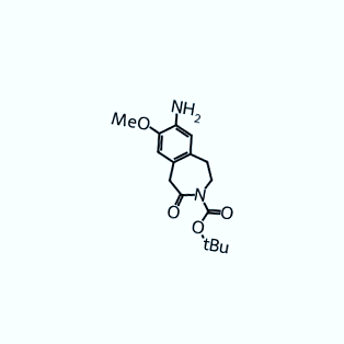 COc1cc2c(cc1N)CCN(C(=O)OC(C)(C)C)C(=O)C2